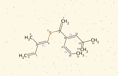 C=C/C(C)=C/SC(=C)C(/C=C\C)=C/C(=C)C